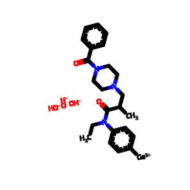 CCN(C(=O)C(C)CN1CCN(C(=O)c2ccccc2)CC1)c1cc[c]([Ge+3])cc1.[OH-].[OH-].[OH-]